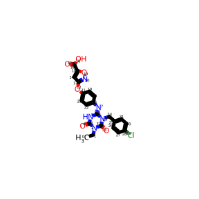 CCn1c(=O)[nH]/c(=N\c2ccc(Oc3cc(C(=O)O)on3)cc2)n(Cc2ccc(Cl)cc2)c1=O